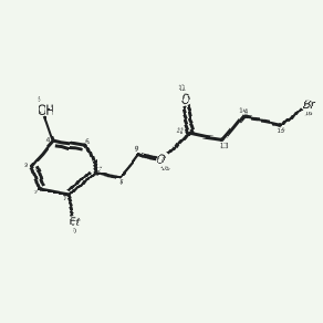 CCc1ccc(O)cc1CCOC(=O)CCCBr